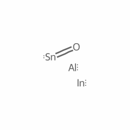 [Al].[In].[O]=[Sn]